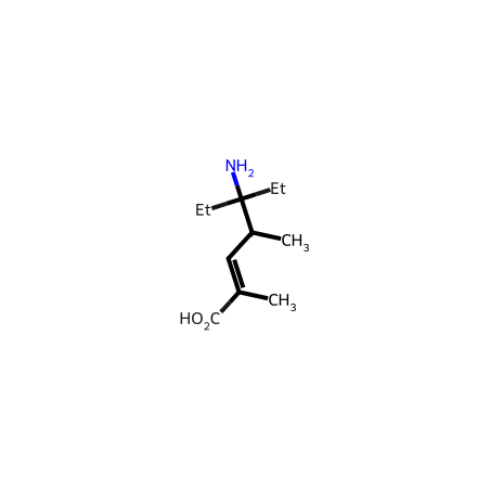 CCC(N)(CC)[C](C)C=C(C)C(=O)O